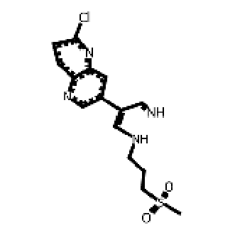 CS(=O)(=O)CCCN/C=C(\C=N)c1cnc2ccc(Cl)nc2c1